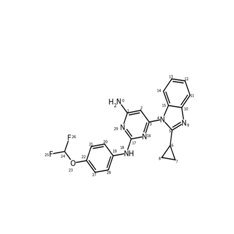 Nc1cc(-n2c(C3CC3)nc3ccccc32)nc(Nc2ccc(OC(F)F)cc2)n1